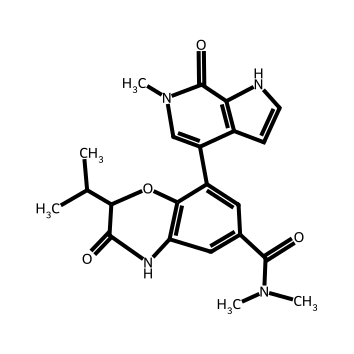 CC(C)C1Oc2c(cc(C(=O)N(C)C)cc2-c2cn(C)c(=O)c3[nH]ccc23)NC1=O